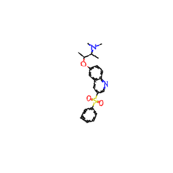 CC(Oc1ccc2ncc(S(=O)(=O)c3ccccc3)cc2c1)C(C)N(C)C